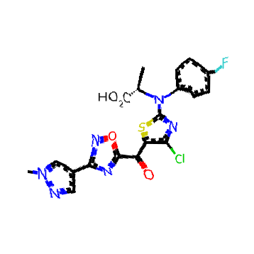 C[C@@H](C(=O)O)N(c1ccc(F)cc1)c1nc(Cl)c(C(=O)c2nc(-c3cnn(C)c3)no2)s1